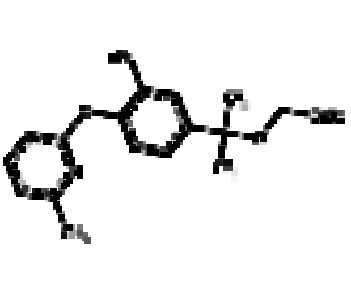 CCCc1cc(C(OCOC)(C(F)(F)F)C(F)(F)F)ccc1Oc1cccc(C)n1